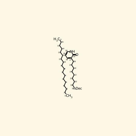 CCCCCCCCCCCCCCCCCC.CCCCCCCCCCCCCCCCCCc1ccc[nH]c1=O